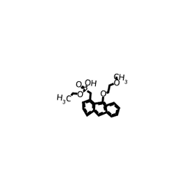 CCOP(=O)(O)Cc1cccc2cc3ccccc3c(OCCOC)c12